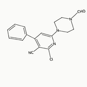 N#Cc1c(-c2ccccc2)cc(N2CCN(C=O)CC2)nc1Cl